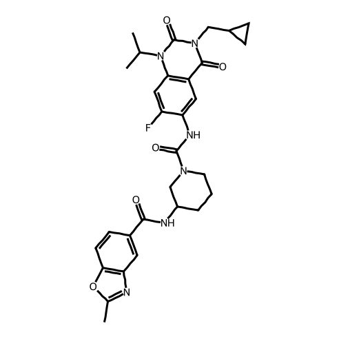 Cc1nc2cc(C(=O)NC3CCCN(C(=O)Nc4cc5c(=O)n(CC6CC6)c(=O)n(C(C)C)c5cc4F)C3)ccc2o1